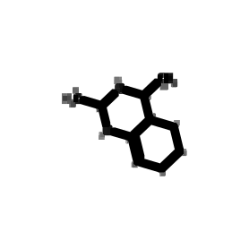 CC1OC2=CCCCC2C(C)O1